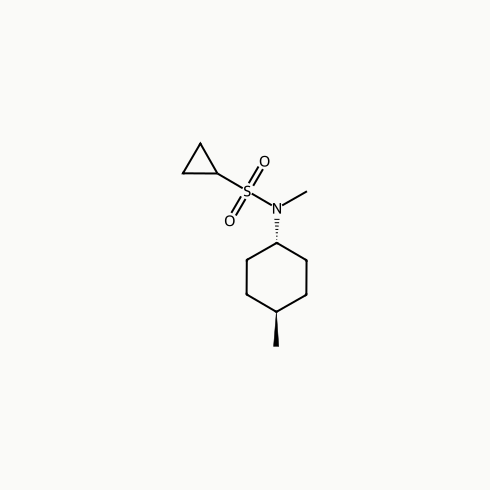 CN([C@H]1CC[C@H](C)CC1)S(=O)(=O)C1CC1